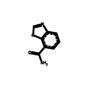 NC(=O)c1cccc2c1[N]C=N2